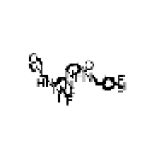 O=C(NCCc1ccc(C(F)(F)F)cc1)[C@@H]1CCCN(c2cc(NCCN3CCOCC3)nc(C(F)(F)F)n2)C1